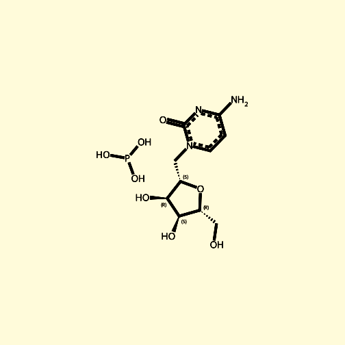 Nc1ccn(C[C@@H]2O[C@H](CO)[C@@H](O)[C@H]2O)c(=O)n1.OP(O)O